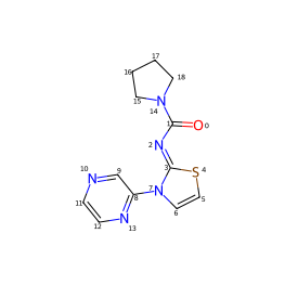 O=C(N=c1sccn1-c1cnccn1)N1CCCC1